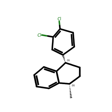 C[C@H]1CC[C@@H](c2ccc(Cl)c(Cl)c2)c2ccccc21